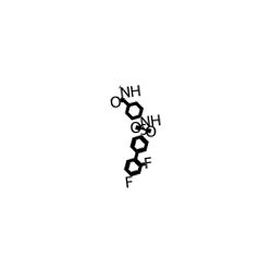 CNC(=O)C1CCC(NS(=O)(=O)c2ccc(-c3ccc(F)cc3F)cc2)CC1